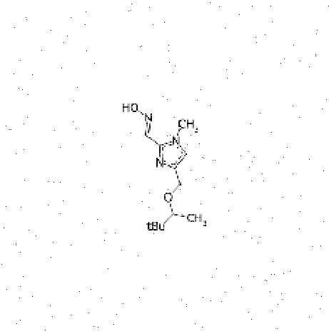 CC(OCc1cn(C)c(/C=N/O)n1)C(C)(C)C